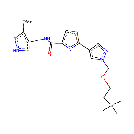 COc1n[nH]cc1NC(=O)c1csc(-c2cnn(COCC[Si](C)(C)C)c2)n1